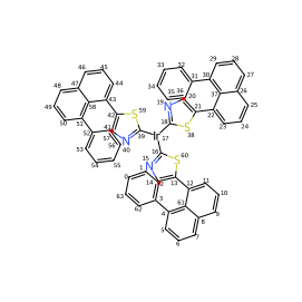 c1ccc(-c2cccc3cccc(-c4cn[c]([Ir]([c]5ncc(-c6cccc7cccc(-c8ccccc8)c67)s5)[c]5ncc(-c6cccc7cccc(-c8ccccc8)c67)s5)s4)c23)cc1